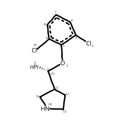 CCC[C@H](Oc1c(Cl)cccc1Cl)C1CCNC1